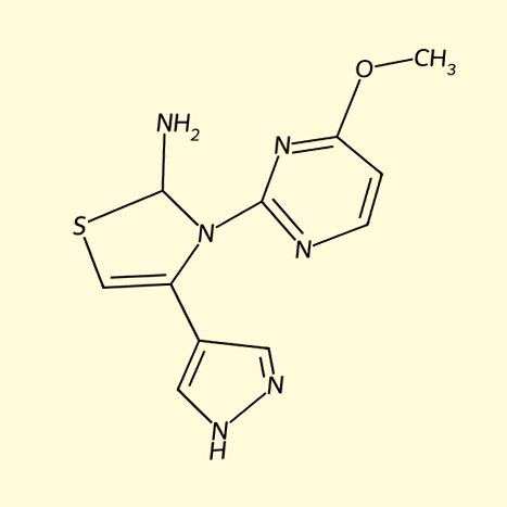 COc1ccnc(N2C(c3cn[nH]c3)=CSC2N)n1